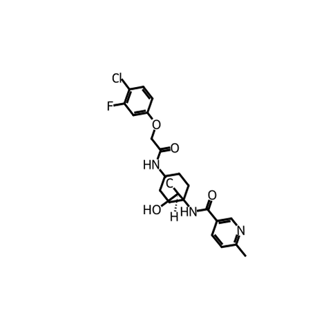 Cc1ccc(C(=O)NC23CCC(NC(=O)COc4ccc(Cl)c(F)c4)(CC2)C[C@@H]3O)cn1